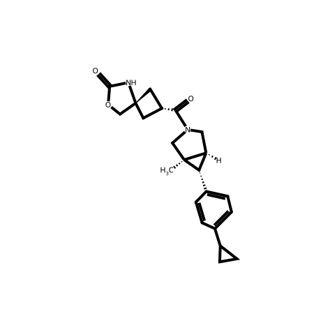 C[C@]12CN(C(=O)[C@H]3C[C@]4(COC(=O)N4)C3)C[C@H]1[C@@H]2c1ccc(C2CC2)cc1